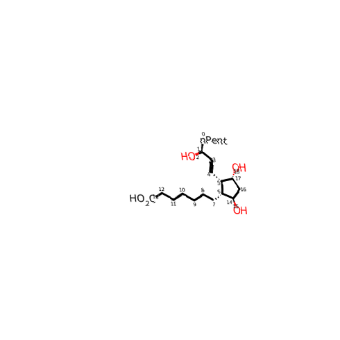 CCCCC[C@H](O)C=C[C@H]1[C@@H](CCCCCCC(=O)O)[C@H](O)C[C@H]1O